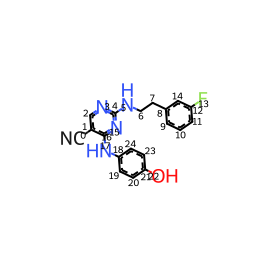 N#Cc1cnc(NCCc2cccc(F)c2)nc1Nc1ccc(O)cc1